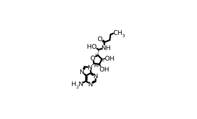 CCCC(=O)NC(O)[C@H]1O[C@@H](n2cnc3c(N)ncnc32)[C@H](O)[C@@H]1O